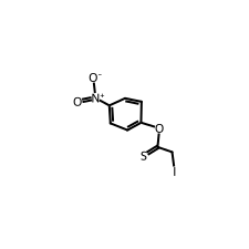 O=[N+]([O-])c1ccc(OC(=S)CI)cc1